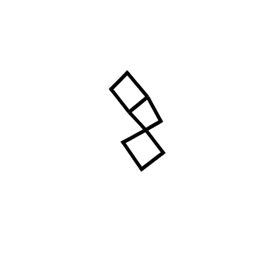 C1CC2(C1)CC1CCC12